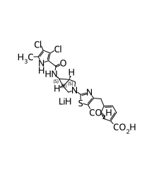 Cc1[nH]c(C(=O)N[C@H]2[C@@H]3CN(c4nc(Cc5ccc(C(=O)O)cc5)c(C(=O)O)s4)C[C@@H]32)c(Cl)c1Cl.[LiH]